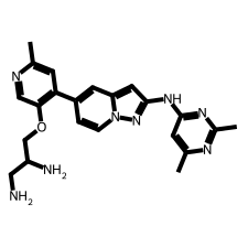 Cc1cc(-c2ccn3nc(Nc4cc(C)nc(C)n4)cc3c2)c(OCC(N)CN)cn1